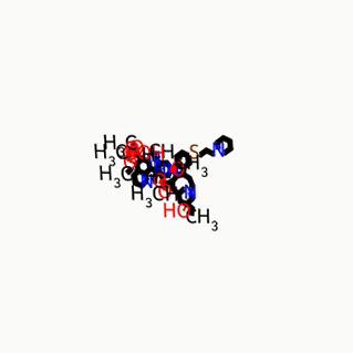 CC[C@]1(O)C[C@H]2CN(CCc3c([nH]c4ccc(SCCCN5CCCCC5)cc34)[C@@](C(=O)OC)(C3C=C4C(=CC3OC)N(C)[C@H]3[C@@](O)(C(=O)OC)[C@H](OC(C)=O)[C@]5(CC)C=CCN6CC[C@]43[C@@H]65)C2)C1